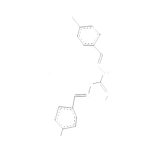 CC(=O)N=C(NN=Cc1ccc(Cl)cc1)NN=Cc1ccc(Cl)cc1.Cl